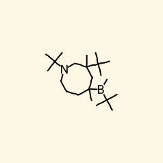 CB(C(C)(C)C)C1(C)CCCN(C(C)(C)C)CC(C)(C(C)(C)C)C1